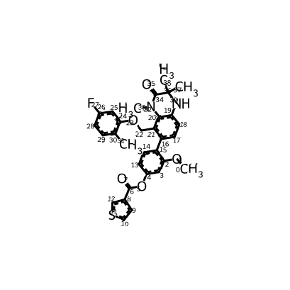 COc1cc(OC(=O)c2ccsc2)ccc1-c1ccc2c(c1COc1cc(F)ccc1C)N(C)C(=O)C(C)(C)N2